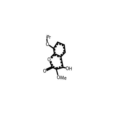 COc1c(O)c2cccc(OC(C)C)c2oc1=O